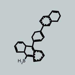 BC1=c2ccccc2=C(C2=CC=C(c3ccc4c(c3)CCC=C4)CC2)C2C=CC=CC12